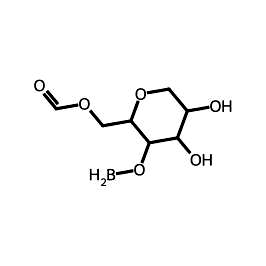 BOC1C(COC=O)OCC(O)C1O